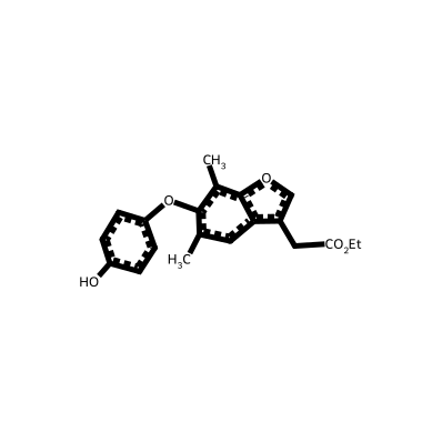 CCOC(=O)Cc1coc2c(C)c(Oc3ccc(O)cc3)c(C)cc12